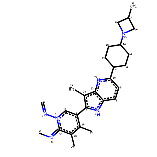 C=Nn1cc(-c2[nH]c3ccc(C4CCC(N5CC(C#N)C5)CC4)nc3c2C(C)C)c(C)c(C)/c1=N/C